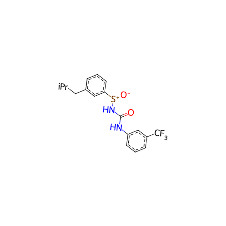 CC(C)Cc1cccc([S+]([O-])NC(=O)Nc2cccc(C(F)(F)F)c2)c1